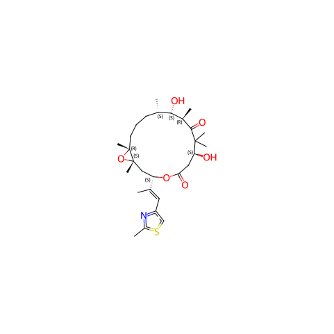 CC(=Cc1csc(C)n1)[C@@H]1C[C@]2(C)O[C@]2(C)CCC[C@H](C)[C@H](O)[C@@H](C)C(=O)C(C)(C)[C@@H](O)CC(=O)O1